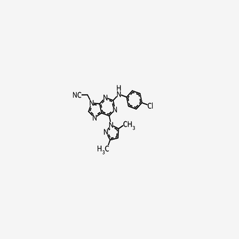 Cc1cc(C)n(-c2nc(Nc3ccc(Cl)cc3)nc3c2ncn3CC#N)n1